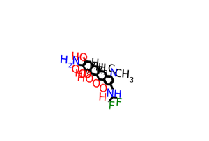 CN(C)c1cc(CNC(CF)CF)c(O)c2c1C[C@H]1C[C@H]3CC(O)=C(C(N)=O)C(=O)[C@@]3(O)C(O)=C1C2=O